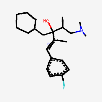 C/C(=C\c1ccc(F)cc1)C(O)(CC1CCCCC1)C(C)CN(C)C